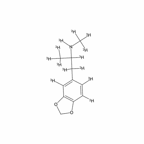 [2H]c1c([2H])c(C([2H])([2H])C([2H])(N([2H])C([2H])([2H])[2H])C([2H])([2H])[2H])c([2H])c2c1OCO2